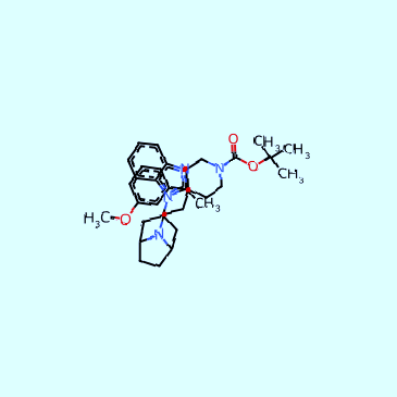 COc1cccc(C2(CCN3C4CCC3CC(n3c(C)nc5ccccc53)C4)CCN(C(=O)OC(C)(C)C)CC2)c1